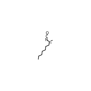 CCCCCCC[C@H](C)N=C=O